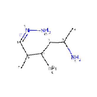 CCCC(CC(C)N)C(C)/C=N\N